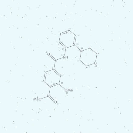 COC(=O)c1ccc(C(=O)Nc2ccccc2N2CCOCC2)cc1OC